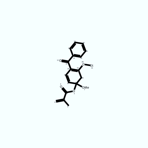 C=C(C)C(=O)OC1(OC)C=CC(C(=O)c2ccccc2)=C(OCC)C1